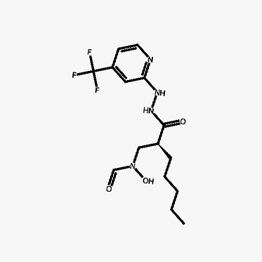 CCCCC[C@@H](CN(O)C=O)C(=O)NNc1cc(C(F)(F)F)ccn1